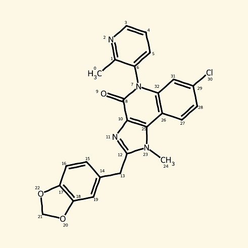 Cc1ncccc1-n1c(=O)c2nc(Cc3ccc4c(c3)OCO4)n(C)c2c2ccc(Cl)cc21